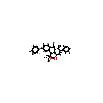 CC1C(c2ccccc2)=CC(O)C2C1C(C)c1ccc(-c3ccccc3)cc1C2C(C)(C)C